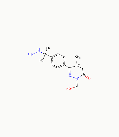 C[C@@H]1CC(=O)N(CO)N=C1c1ccc(C(C#N)(C#N)NN)cc1